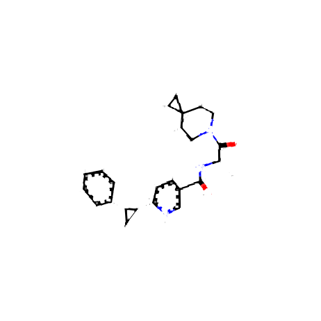 C[C@H](NC(=O)c1ccc([C@@H]2C[C@@H]2c2ccccc2)nc1)C(=O)N1CCC2(CC1)CC2